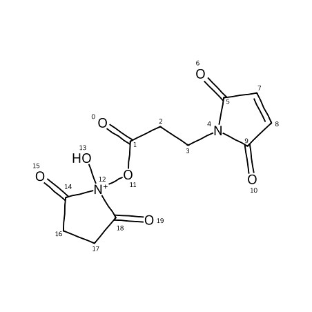 O=C(CCN1C(=O)C=CC1=O)O[N+]1(O)C(=O)CCC1=O